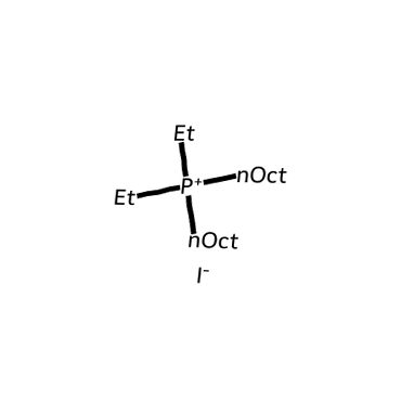 CCCCCCCC[P+](CC)(CC)CCCCCCCC.[I-]